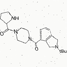 CC(C)(C)N1Cc2cccc(C(=O)N3CCN(C(=O)C4CCCN4)CC3)c2C1